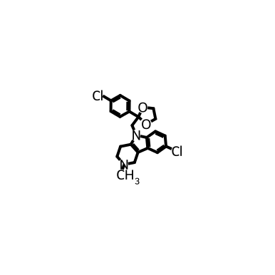 CN1CCc2c(c3cc(Cl)ccc3n2CC2(c3ccc(Cl)cc3)OCCO2)C1